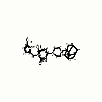 Cc1nc(N2CCN(C34CC5CC(CC(C5)C3)C4)CC2)nc(=O)n1Cc1ccc(C(F)(F)F)s1